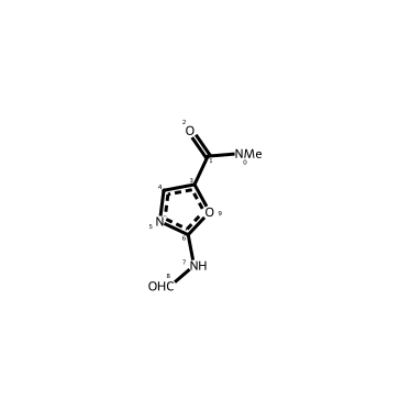 CNC(=O)c1cnc(NC=O)o1